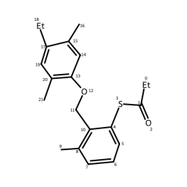 CCC(=O)Sc1cccc(C)c1COc1cc(C)c(CC)cc1C